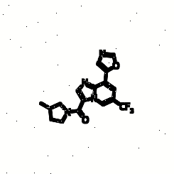 CC1CCN(C(=O)c2cnc3c(-c4cnco4)cc(C(F)(F)F)cn23)C1